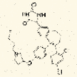 O=C1NC(=O)C(c2ccc3c(c2)CCCC(c2ccc(Cl)cc2Cl)=C3c2ccc(OC3CCN(CCCF)C3)cc2)N1